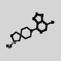 C[C@H]1CC2(CCN(c3ncc(Br)c4nsnc34)CC2)CO1